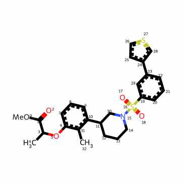 COC(=O)C(C)Oc1cccc(C2CCCN(S(=O)(=O)c3cccc(-c4ccsc4)c3)C2)c1C